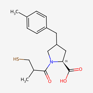 Cc1ccc(CC2C[C@@H](C(=O)O)N(C(=O)C(C)CS)C2)cc1